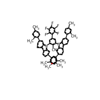 Cc1ccc(-c2ccc3c4ccc(-c5ccc(C)cc5C)cc4n(-c4cc(-c5c(F)c(F)c(F)c(F)c5F)cc(-n5c6cc(-c7ccc(C)cc7C)ccc6c6ccc(-c7ccc(C)cc7C)cc65)c4C#N)c3c2)c(C)c1